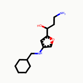 NCCC(O)c1cc(NCC2CCCCC2)co1